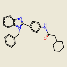 O=C(CC1CCCCC1)Nc1ccc(-c2nc3ccccc3n2Cc2ccccc2)cc1